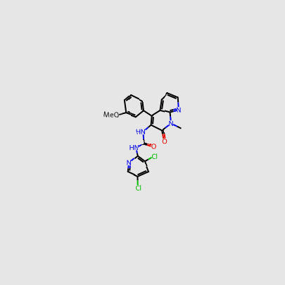 COc1cccc(-c2c(NC(=O)Nc3ncc(Cl)cc3Cl)c(=O)n(C)c3ncccc23)c1